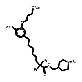 COCCCOc1cc(CCCCCCC(C(=O)NCC2CCN(C(C)=O)CC2)(C(C)C)C(C)C)ccc1OC